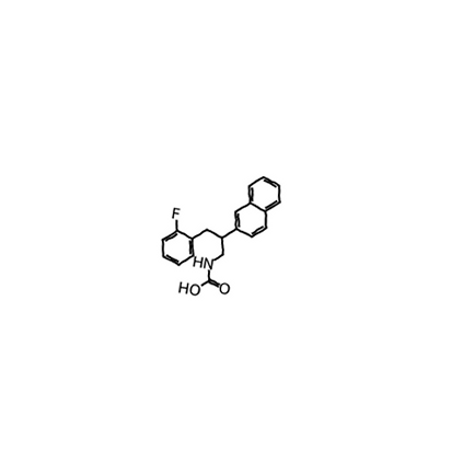 O=C(O)NCC(Cc1ccccc1F)c1ccc2ccccc2c1